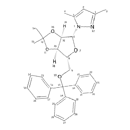 Cc1cc(C)n([C@@H]2O[C@H](COC(c3ccccc3)(c3ccccc3)c3ccccc3)[C@H]3OC(C)(C)O[C@H]32)n1